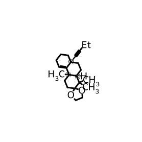 CCC#C[C@]12CCCC=C1[C@@]1(C)CCC3(OCCO3)C(C)(C)[C@@H]1CC2